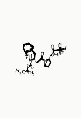 C=C(C)OC(=O)N[C@@H](CC(=O)N1CCC[C@H]1CNC(=O)C(F)(F)F)Cc1ccccc1F